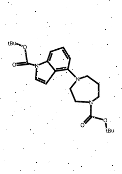 CC(C)(C)OC(=O)N1CCCN(c2cccc3c2ccn3C(=O)OC(C)(C)C)CC1